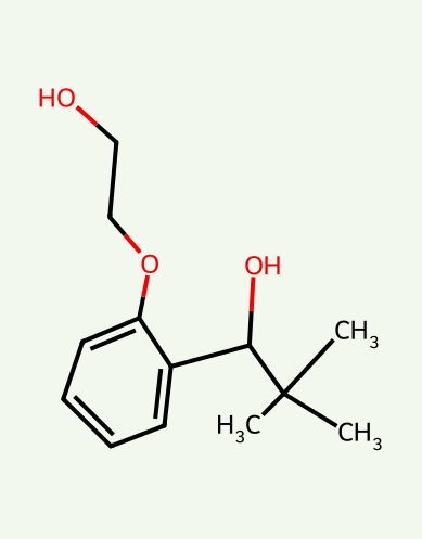 CC(C)(C)C(O)c1ccccc1OCCO